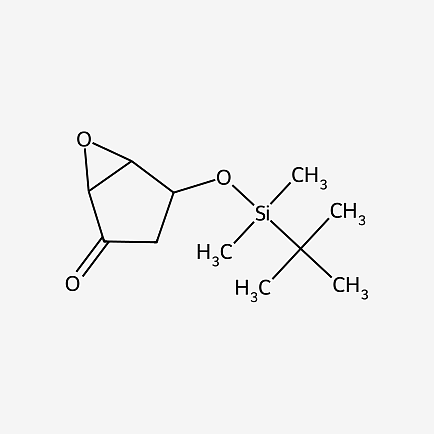 CC(C)(C)[Si](C)(C)OC1CC(=O)C2OC12